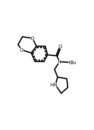 CC(C)(C)N(CC1CCCN1)C(=O)c1ccc2c(c1)OCCO2